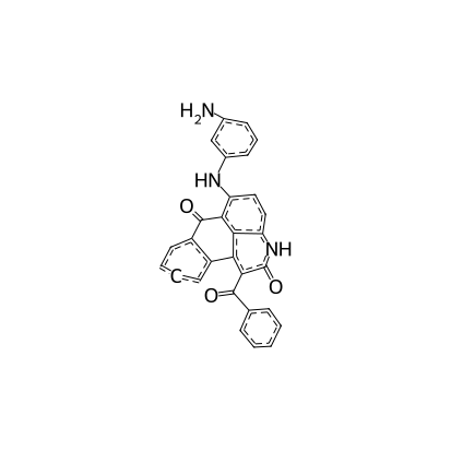 Nc1cccc(Nc2ccc3[nH]c(=O)c(C(=O)c4ccccc4)c4c3c2C(=O)c2ccccc2-4)c1